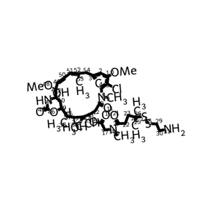 COc1cc2cc(c1Cl)N(C)C(=O)C[C@H](OC(=O)CN(C)C(=O)CCC(C)(C)SSCCN)C(C)(C)[C@@H](O)[C@H](C)[C@@H]1C[C@@](O)(NC(=O)O1)[C@H](OC)/C=C/C=C(\C)C2